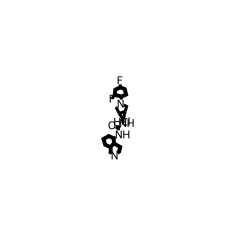 Cl.O=C(Nc1cccc2cnccc12)NC1C2CN(c3ccc(F)cc3F)CC21